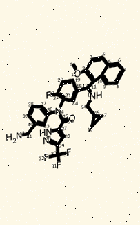 COc1ccc2ccccc2c1C(NCC1CC1)c1ccc(F)c(N(C(=O)c2cc(C(F)(F)F)n[nH]2)c2cccc(CN)c2)c1